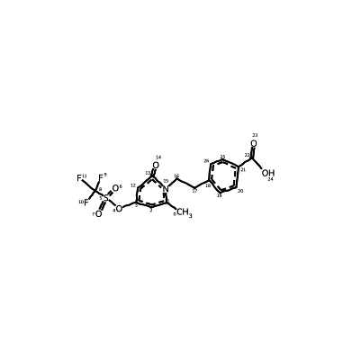 Cc1cc(OS(=O)(=O)C(F)(F)F)cc(=O)n1CCc1ccc(C(=O)O)cc1